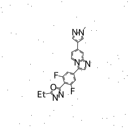 CCc1nnc(-c2c(F)cc(-c3cnc4cc(-c5cnn(C)c5)ccn34)cc2F)o1